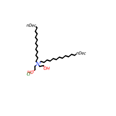 CCCCCCCCCCCCCCCCCCCCCC[N+](CCO)(CCO)CCCCCCCCCCCCCCCCCCCCCC.[Cl-]